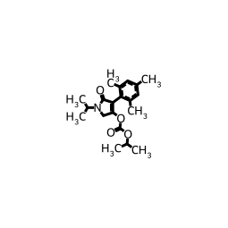 Cc1cc(C)c(C2=C(OC(=O)OC(C)C)CN(C(C)C)C2=O)c(C)c1